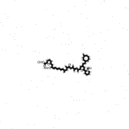 COC(/C=C/C=C/C=C/C(C)CC(C)C(=O)CC(C)/C(C)=C/C(C)CCC(CCC1CCCCC(C)CC1)CC(=O)C1CCCCN1O)CC1CCCC(C(=O)C=O)O1